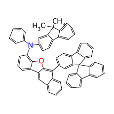 CC1(C)c2ccccc2-c2ccc(N(c3ccccc3)c3cccc4c3oc3c(-c5ccc6c(c5)C5(c7ccccc7-c7ccccc75)c5ccccc5-6)c5ccccc5cc34)cc21